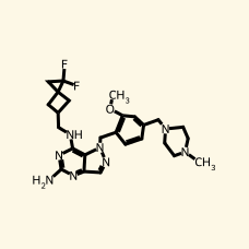 COc1cc(CN2CCN(C)CC2)ccc1Cn1ncc2nc(N)nc(NCC3CC4(C3)CC4(F)F)c21